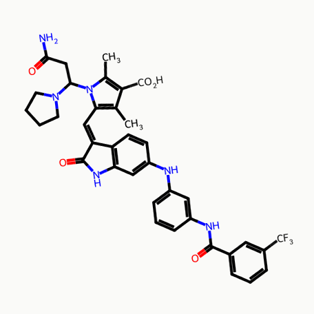 Cc1c(C(=O)O)c(C)n(C(CC(N)=O)N2CCCC2)c1C=C1C(=O)Nc2cc(Nc3cccc(NC(=O)c4cccc(C(F)(F)F)c4)c3)ccc21